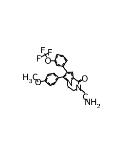 COc1ccc(-c2c(-c3cccc(OC(F)(F)F)c3)cc3n2CCN(CCN)C3=O)cc1